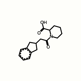 O=C(O)C1CCCCN1C(=O)CC1Cc2ccccc2C1